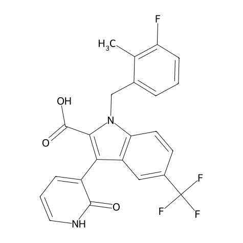 Cc1c(F)cccc1Cn1c(C(=O)O)c(-c2ccc[nH]c2=O)c2cc(C(F)(F)F)ccc21